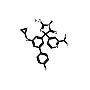 CN1C(=O)C(c2cc(OC3CC3)cc(-c3ccc(F)cc3)c2)(c2ccnc(C(F)F)c2)N=C1N